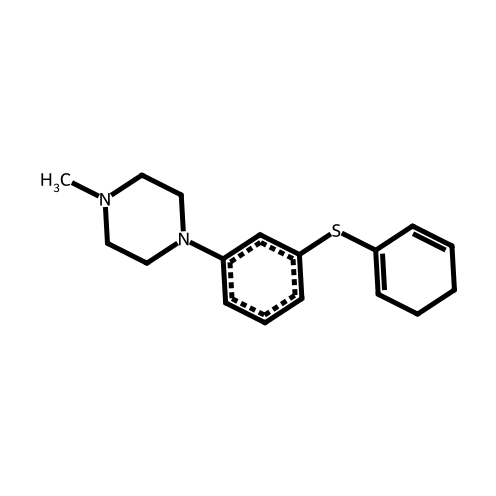 CN1CCN(c2cccc(SC3=CCCC=C3)c2)CC1